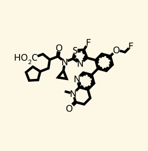 CN1C(=O)CCc2cc(-c3ccc(OCF)cc3-c3nc(N(C(=O)C(CC(=O)O)CC4CCCC4)C4CC4)sc3F)cnc21